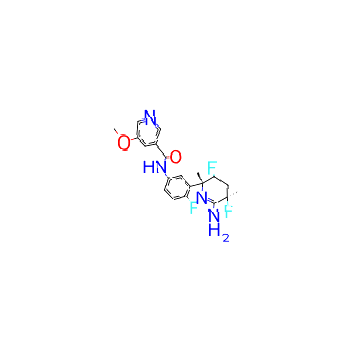 COc1cncc(C(=O)Nc2ccc(F)c([C@@]3(C)N=C(N)[C@](C)(F)C[C@@H]3F)c2)c1